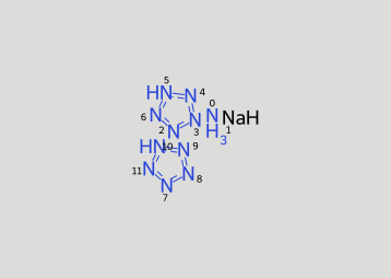 N.[NaH].n1nn[nH]n1.n1nn[nH]n1